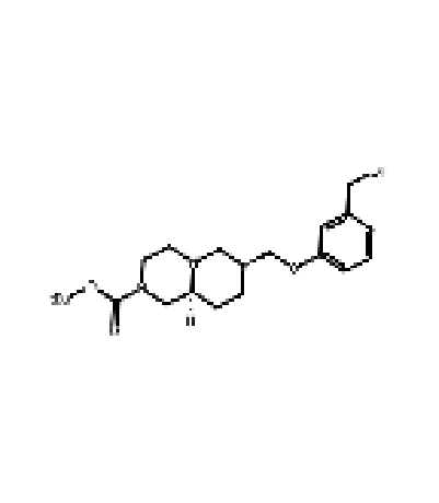 CC(C)(C)OC(=O)N1CCN2C[C@@H](COc3cccc(CO)c3)CC[C@H]2C1